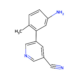 Cc1ccc(N)cc1-c1cncc(C#N)c1